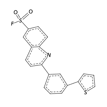 O=S(=O)(F)c1ccc2nc(-c3cccc(-c4cccs4)c3)ccc2c1